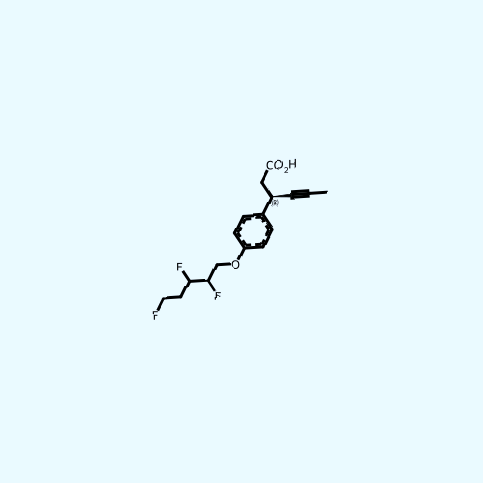 CC#C[C@H](CC(=O)O)c1ccc(OCC(F)C(F)CCF)cc1